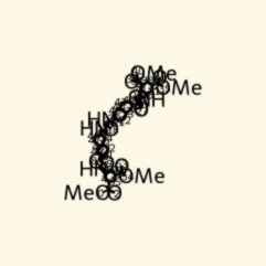 COC(=O)c1cc(NS(=O)(=O)c2ccc3cc(NC(=O)Nc4ccc5cc(S(=O)(=O)Nc6cc(C(=O)OC)cc(C(=O)OC)c6)ccc5c4)ccc3c2)cc(C(=O)OC)c1